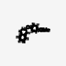 COc1ccc(Oc2ccc3ccncc3c2)cc1